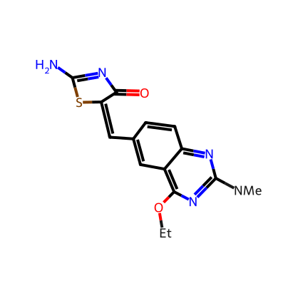 CCOc1nc(NC)nc2ccc(C=C3SC(N)=NC3=O)cc12